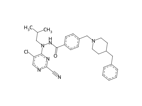 CC(C)CN(NC(=O)c1ccc(CN2CCC(Cc3ccccc3)CC2)cc1)c1nc(C#N)ncc1Cl